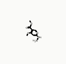 COC(=O)c1cnc(NN)cc1OC